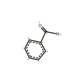 [N]C(=O)c1ccccc1